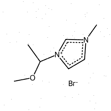 COC(C)[n+]1ccn(C)c1.[Br-]